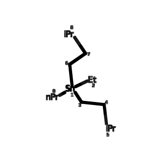 CC[CH2][Sn]([CH2]C)([CH2]CC(C)C)[CH2]CC(C)C